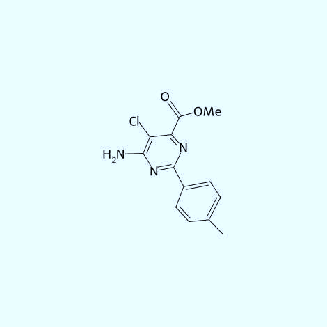 COC(=O)c1nc(-c2ccc(C)cc2)nc(N)c1Cl